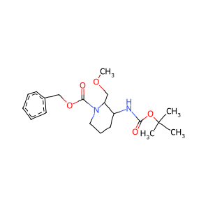 COCC1C(NC(=O)OC(C)(C)C)CCCN1C(=O)OCc1ccccc1